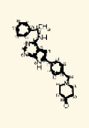 CC(Nc1ncnc2[nH]c(-c3ccc(CN4CCC(=O)CC4)cc3)cc12)c1ccccc1